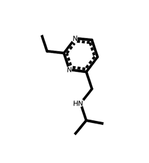 CCc1nccc(CNC(C)C)n1